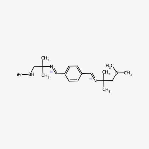 CB(C)CC(C)(C)/N=C/c1ccc(/C=N/C(C)(C)CBC(C)C)cc1